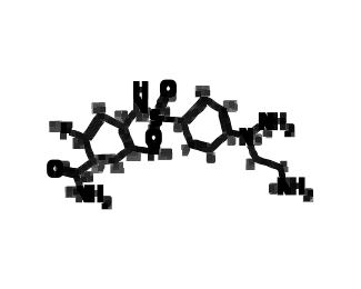 NCCN(N)c1ccc(S(=O)(=O)Nc2cc(F)c(C(N)=O)cc2F)cc1